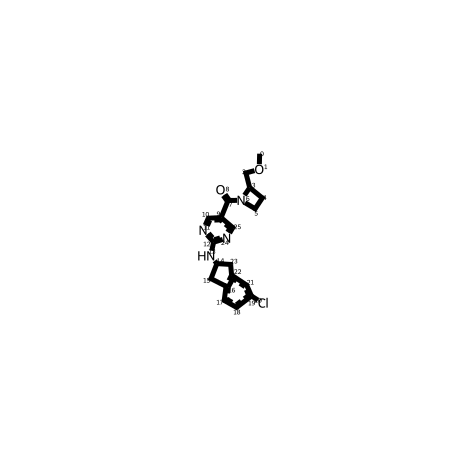 COCC1CCN1C(=O)c1cnc(NC2Cc3ccc(Cl)cc3C2)nc1